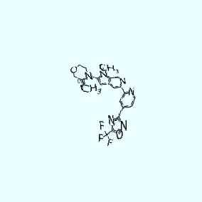 C[C@H]1COCCN1c1cc2cc(-c3cc(-c4noc(C(F)(F)F)n4)ccn3)ncc2n1C